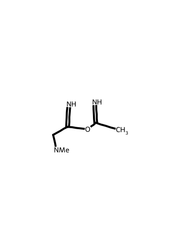 CNCC(=N)OC(C)=N